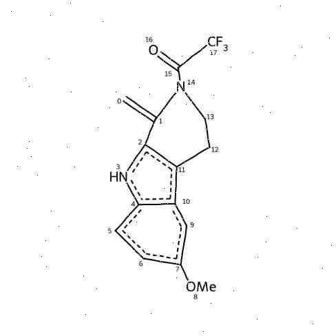 C=C1c2[nH]c3ccc(OC)cc3c2CCN1C(=O)C(F)(F)F